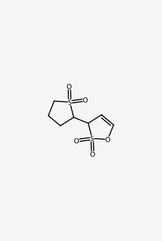 O=S1(=O)CCCC1C1C=COS1(=O)=O